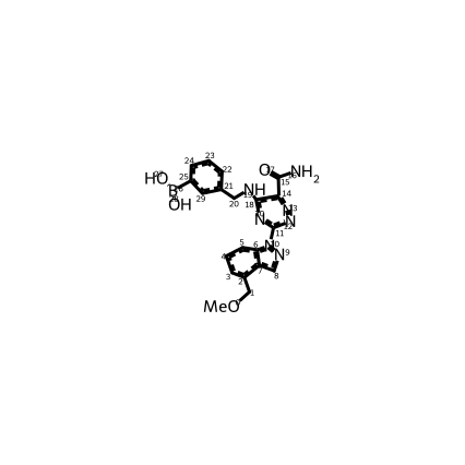 COCc1cccc2c1cnn2-c1nnc(C(N)=O)c(NCc2cccc(B(O)O)c2)n1